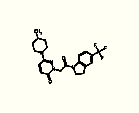 CC1CCN(c2ccc(=O)n(CC(=O)N3CCc4cc(C(F)(F)F)ccc43)n2)CC1